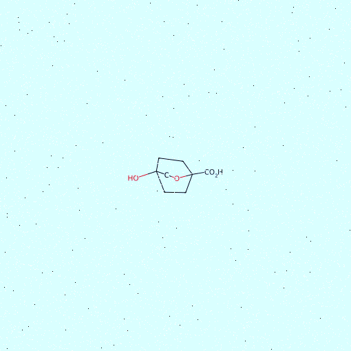 O=C(O)C12CCC(O)(CC1)CO2